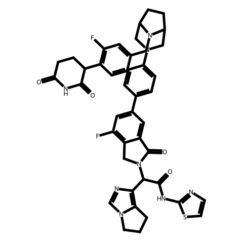 O=C1CCC(c2ccc(CN3C4CCC3CN(c3ccc(-c5cc(F)c6c(c5)C(=O)N(C(C(=O)Nc5nccs5)c5ncn7c5CCC7)C6)cc3)C4)cc2F)C(=O)N1